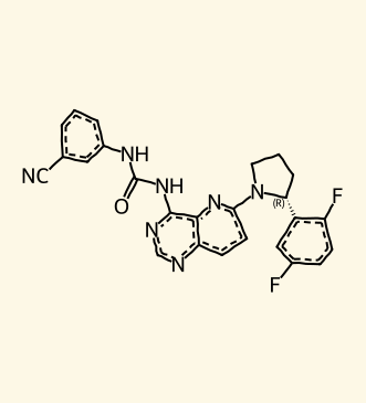 N#Cc1cccc(NC(=O)Nc2ncnc3ccc(N4CCC[C@@H]4c4cc(F)ccc4F)nc23)c1